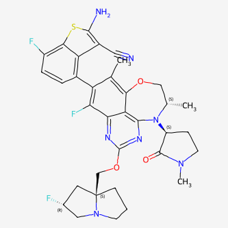 Cc1c(-c2ccc(F)c3sc(N)c(C#N)c23)c(F)c2nc(OC[C@@]34CCCN3C[C@H](F)C4)nc3c2c1OC[C@H](C)N3[C@H]1CCN(C)C1=O